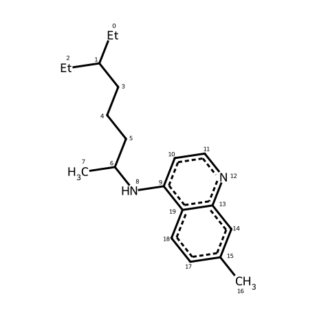 CCC(CC)CCCC(C)Nc1ccnc2cc(C)ccc12